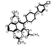 CC(=O)Oc1c(C2CCC(c3ccc(Cl)cc3)CC2)c(OC(C)=O)c2ccccc2c1OC(C)=O